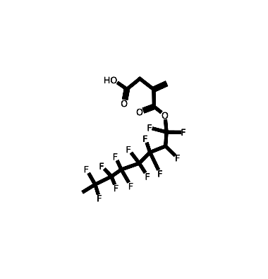 C=C(CC(=O)O)C(=O)OC(F)(F)C(F)C(F)(F)C(F)(F)C(F)(F)C(F)(F)C(C)(F)F